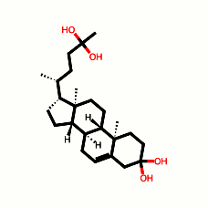 C[C@H](CCC(C)(O)O)[C@H]1CC[C@H]2[C@@H]3CC=C4CC(O)(O)CC[C@]4(C)[C@H]3CC[C@]12C